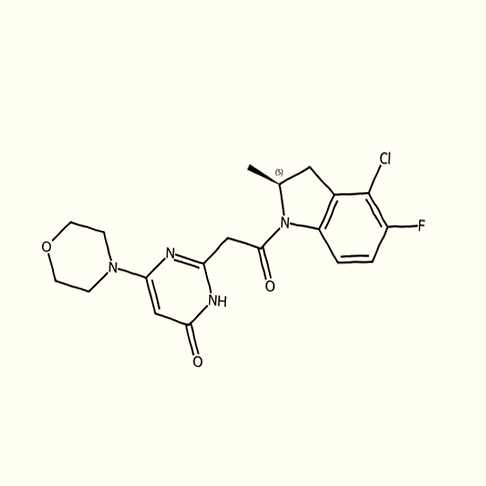 C[C@H]1Cc2c(ccc(F)c2Cl)N1C(=O)Cc1nc(N2CCOCC2)cc(=O)[nH]1